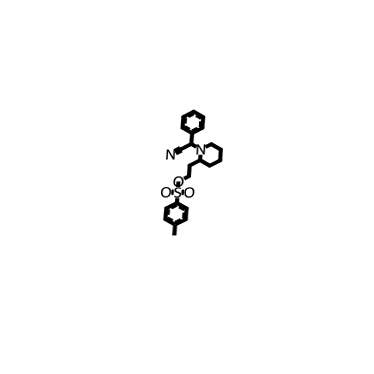 Cc1ccc(S(=O)(=O)OCCC2CCCCN2C(C#N)c2ccccc2)cc1